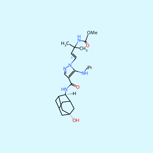 COC(=O)NC(C)(C)/C=C/n1ncc(C(=O)N[C@H]2C3CC4CC2C[C@](O)(C4)C3)c1NC(C)C